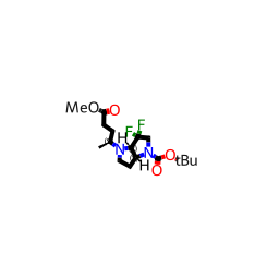 COC(=O)CC[C@H](C)N1CC[C@H]2[C@@H]1C(F)(F)CN2C(=O)OC(C)(C)C